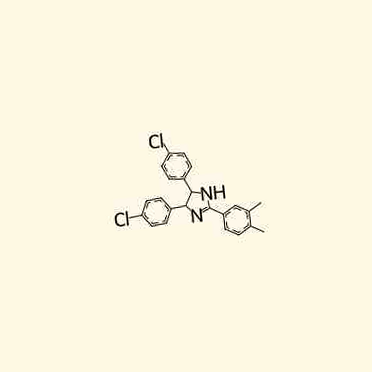 Cc1ccc(C2=NC(c3ccc(Cl)cc3)C(c3ccc(Cl)cc3)N2)cc1C